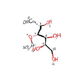 O=C[C@H](O)[C@@H](OS(=O)(=O)O)[C@@H](O)[C@H](O)CO